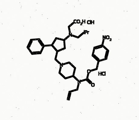 C=CCN(C(=O)OCc1ccc([N+](=O)[O-])cc1)C1CCN(CC2CC(N(CC(=O)O)CC(C)C)CC2c2ccccc2)CC1.Cl.Cl